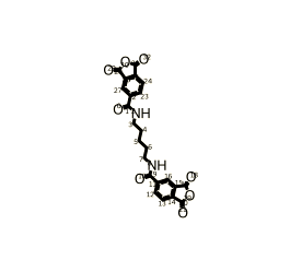 O=C(NCCCCCNC(=O)c1ccc2c(c1)C(=O)OC2=O)c1ccc2c(c1)C(=O)OC2=O